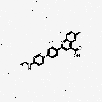 CCNc1ccc(-c2ccc(-c3cc(C(=O)O)c4cc(C)ccc4n3)cc2)cc1